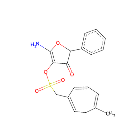 CC1=CC=CC(CS(=O)(=O)OC2=C(N)OC(c3ccccc3)C2=O)=CC1